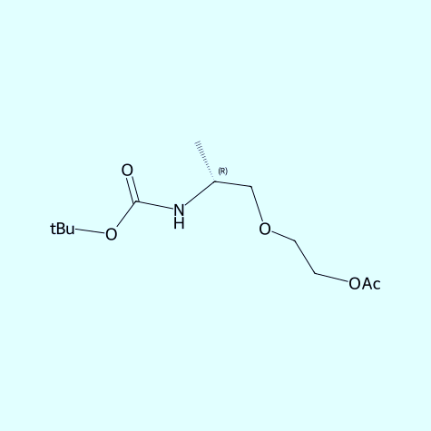 CC(=O)OCCOC[C@@H](C)NC(=O)OC(C)(C)C